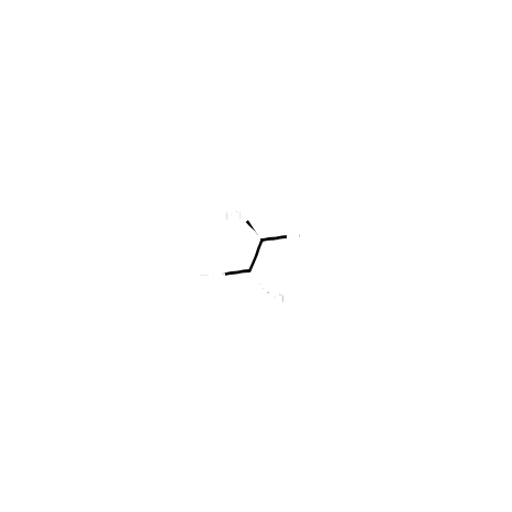 CC(C)[C@@H](O)[C@@H](O)C(C)C